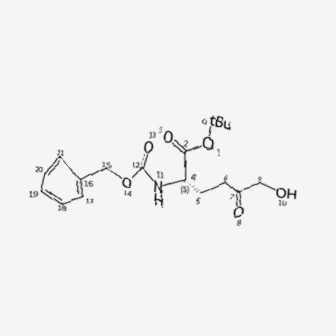 CC(C)(C)OC(=O)[C@H](CCC(=O)CO)NC(=O)OCc1ccccc1